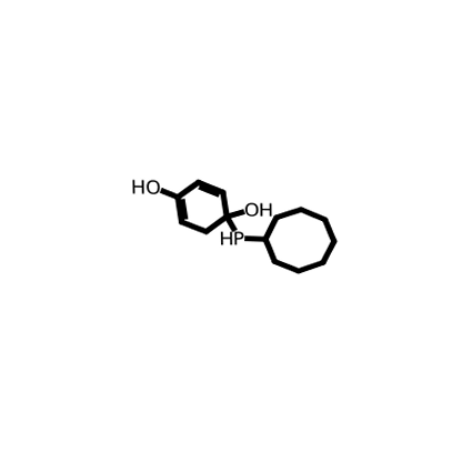 OC1=CCC(O)(PC2CCCCCCC2)C=C1